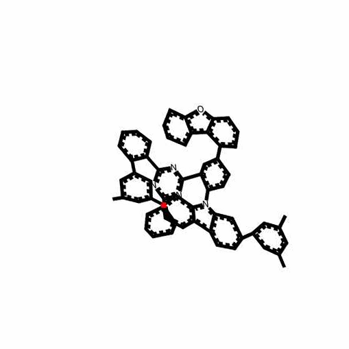 Cc1cc(C)cc(-c2ccc3c4ccc(-c5cc(C)cc(C)c5)cc4n(-c4ccc(-c5cccc6oc7ccccc7c56)cc4-c4nc(-c5ccccc5)nc(-c5ccccc5)n4)c3c2)c1